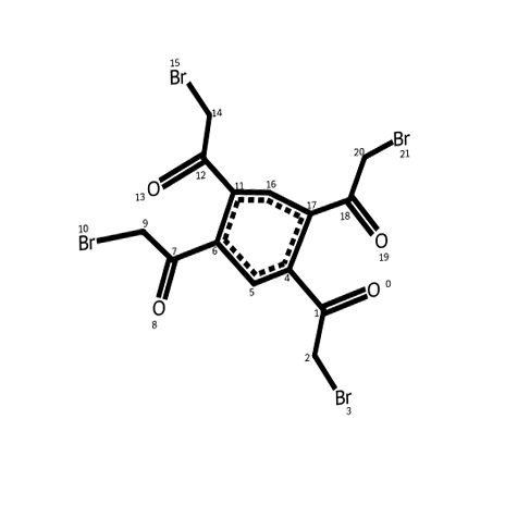 O=C(CBr)c1cc(C(=O)CBr)c(C(=O)CBr)cc1C(=O)CBr